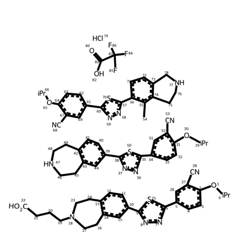 CC(C)Oc1ccc(-c2nnc(-c3ccc4c(c3)CCN(CCCC(=O)O)CC4)s2)cc1C#N.CC(C)Oc1ccc(-c2nnc(-c3ccc4c(c3)CCNCC4)s2)cc1C#N.Cc1c(-c2nnc(-c3ccc(OC(C)C)c(C#N)c3)s2)ccc2c1CCNC2.Cl.O=C(O)C(F)(F)F